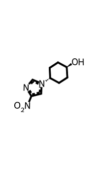 O=[N+]([O-])c1cn([C@H]2CC[C@H](O)CC2)cn1